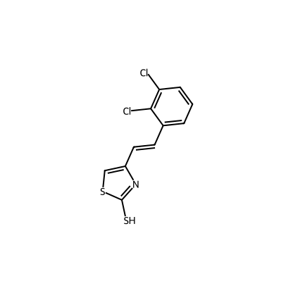 Sc1nc(/C=C/c2cccc(Cl)c2Cl)cs1